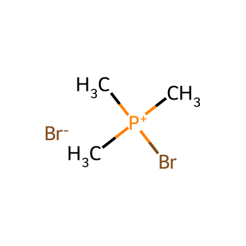 C[P+](C)(C)Br.[Br-]